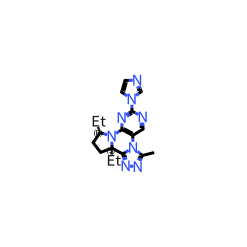 CC[C@@H]1CC[C@@]2(CC)c3nnc(C)n3-c3cnc(-n4ccnc4)nc3N12